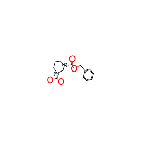 COC(=O)[C@H]1CCC[C@H](C(=O)OCc2ccccc2)C1